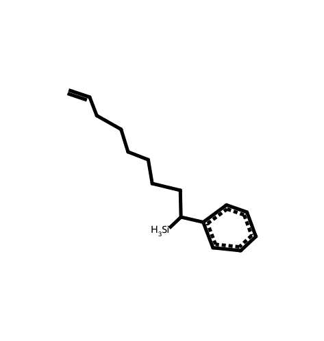 C=CCCCCCCC([SiH3])c1ccccc1